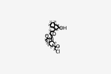 O=C(CCl)N1CCC2(CC1)SCC(=O)N2Cc1ccc(-c2cc(O)cc3ccccc23)o1